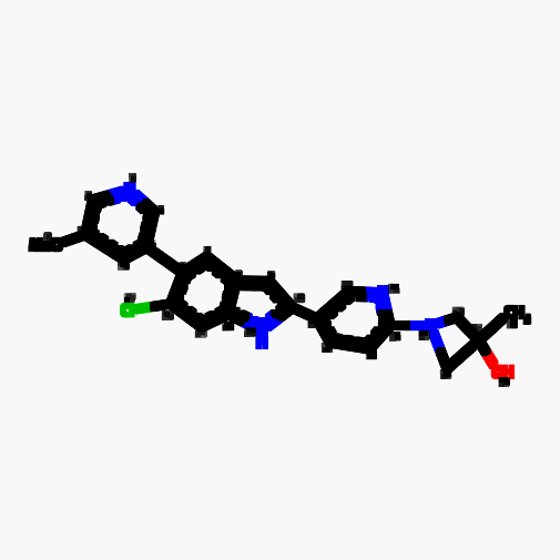 COc1cncc(-c2cc3cc(-c4ccc(N5CC(C)(O)C5)nc4)[nH]c3cc2Cl)c1